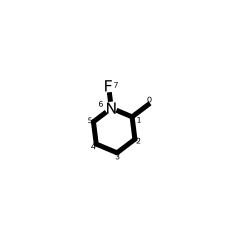 CC1CCCCN1F